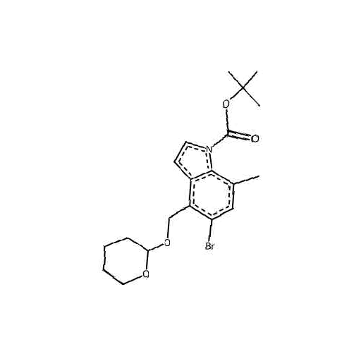 Cc1cc(Br)c(COC2CCCCO2)c2ccn(C(=O)OC(C)(C)C)c12